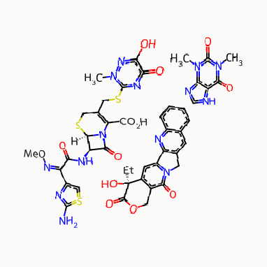 CC[C@@]1(O)C(=O)OCc2c1cc1n(c2=O)Cc2cc3ccccc3nc2-1.CO/N=C(\C(=O)N[C@@H]1C(=O)N2C(C(=O)O)=C(CSc3nc(=O)c(O)nn3C)CS[C@H]12)c1csc(N)n1.Cn1c(=O)c2[nH]cnc2n(C)c1=O